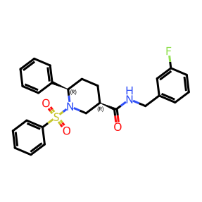 O=C(NCc1cccc(F)c1)[C@@H]1CC[C@H](c2ccccc2)N(S(=O)(=O)c2ccccc2)C1